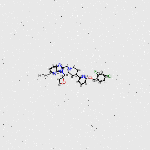 O=C(O)c1ccc2nc(CN3CCC(c4cccc(OCc5ccc(Cl)cc5F)n4)CC3)n(C[C@@H]3CCO3)c2n1